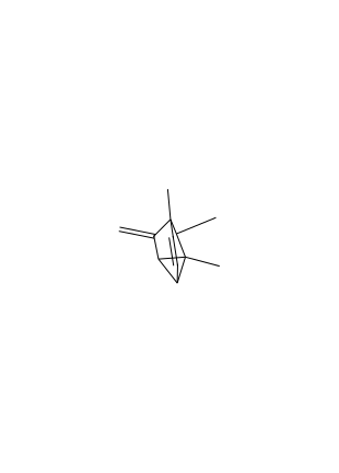 C=C1C2C3C=CC1(C)C(C)C32C